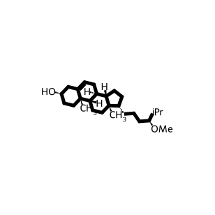 CO[C@H](CCC[C@H]1CC[C@H]2[C@@H]3CC=C4C[C@@H](O)CC[C@]4(C)[C@H]3CC[C@]12C)C(C)C